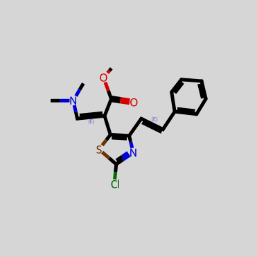 COC(=O)/C(=C\N(C)C)c1sc(Cl)nc1/C=C/c1ccccc1